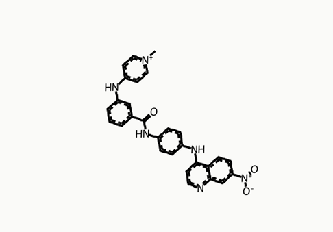 C[n+]1ccc(Nc2cccc(C(=O)Nc3ccc(Nc4ccnc5cc([N+](=O)[O-])ccc45)cc3)c2)cc1